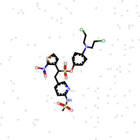 CS(=O)(=O)Nc1ccc(CC(c2ccsc2[N+](=O)[O-])S(=O)(=O)Oc2ccc(N(CCCl)CCCl)cc2)cn1